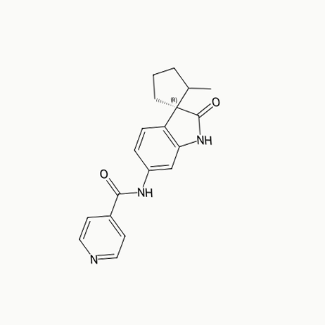 CC1CCC[C@@]12C(=O)Nc1cc(NC(=O)c3ccncc3)ccc12